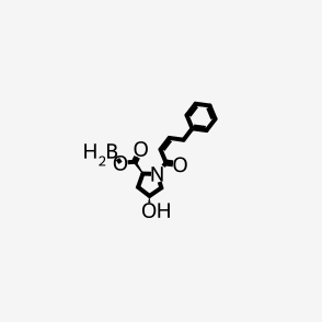 BOC(=O)[C@@H]1C[C@@H](O)CN1C(=O)/C=C\Cc1ccccc1